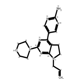 C=CCN1CCc2c(-c3cnc(N)nc3)nc(N3CCOCC3)nc21